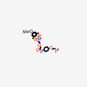 COc1cc(C)c(S(=O)(=O)N(C)CCOCC(=O)N(C)C2CCC(OCCN(C)C)CC2)c(C)c1